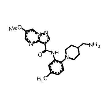 COc1cnc2c(C(=O)Nc3cc(C)ccc3N3CCC(CN)CC3)cnn2c1